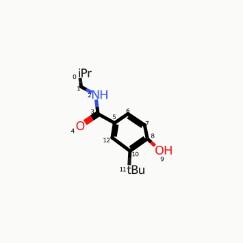 CC(C)CNC(=O)c1ccc(O)c(C(C)(C)C)c1